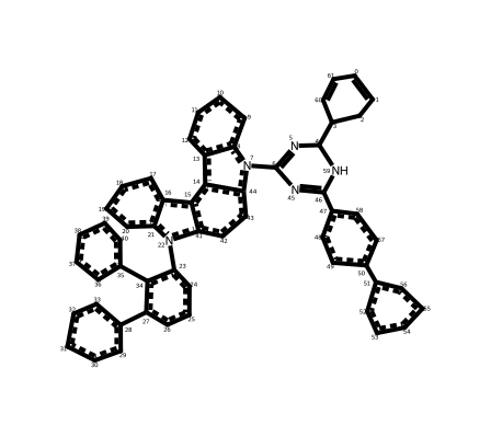 C1=CCC(C2N=C(n3c4ccccc4c4c5c6ccccc6n(-c6cccc(-c7ccccc7)c6-c6ccccc6)c5ccc43)N=C(c3ccc(-c4ccccc4)cc3)N2)C=C1